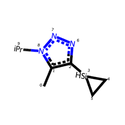 Cc1c([SiH]2CC2)nnn1C(C)C